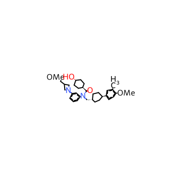 COCC1CN(c2cccc(N(C[C@H]3CC[C@H](c4ccc(OC)c(C)c4)CC3)C(=O)[C@H]3CC[C@H](O)CC3)c2)C1